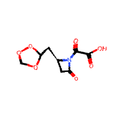 O=C(O)C(=O)N1C(=O)C[C@H]1CC1OCOO1